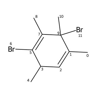 CC1=CC(C)C(Br)=C(C)C1(C)Br